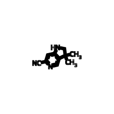 CC1(C)CNc2cc(C#N)ncc21